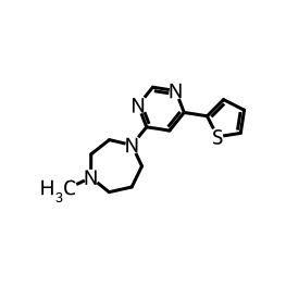 CN1CCCN(c2cc(-c3cccs3)ncn2)CC1